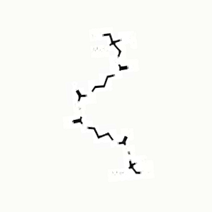 COC(C)(CO)COC(=O)OCCCOC(=O)OOC(=O)OCCCOC(=O)OCC(C)(CO)OC